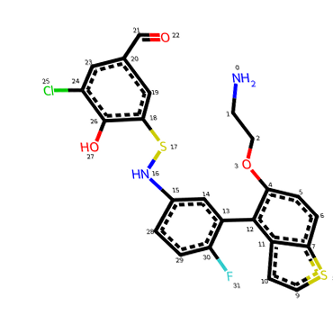 NCCOc1ccc2sccc2c1-c1cc(NSc2cc(C=O)cc(Cl)c2O)ccc1F